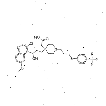 COc1ccc2ncc(Cl)c(C(O)CCC3(CC(=O)O)CCN(CCCSc4ccc(C(F)(F)F)cc4)CC3)c2c1